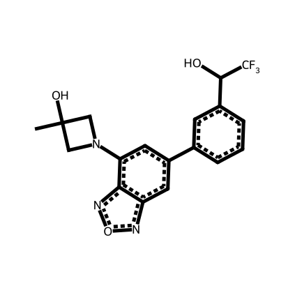 CC1(O)CN(c2cc(-c3cccc(C(O)C(F)(F)F)c3)cc3nonc23)C1